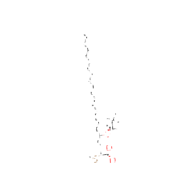 CCCCCCCCCCCCCCCCC[C@H](CC1OC(=O)C1SC)O[Si](C)(C)C(C)(C)C